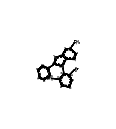 Cc1ccc2c(c1)nc(-c1ccccc1)n2-c1c(C(C)C)cccc1C(C)C